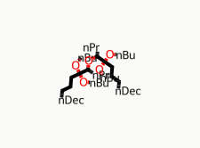 CCCCCCCCCCCCCC(OCCCC)(OCCCC)C(CCC)OC(CCC)C(CCCCCCCCCCCCC)(OCCCC)OCCCC